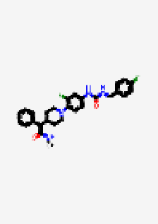 CCNC(=O)C(c1ccccc1)C1CCN(c2ccc(NC(=O)NCc3ccc(F)cc3)cc2F)CC1